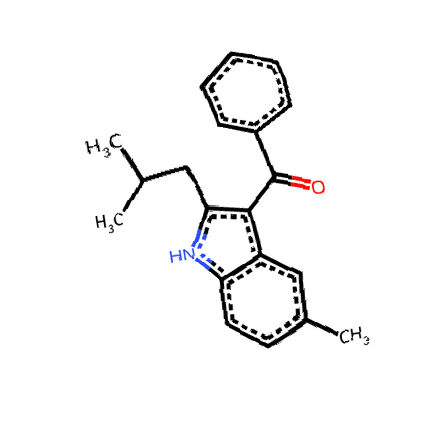 Cc1ccc2[nH]c(CC(C)C)c(C(=O)c3ccccc3)c2c1